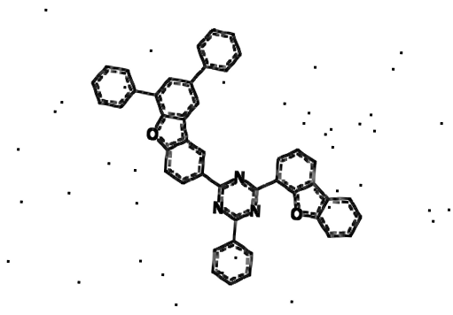 c1ccc(-c2cc(-c3ccccc3)c3oc4ccc(-c5nc(-c6ccccc6)nc(-c6cccc7c6oc6ccccc67)n5)cc4c3c2)cc1